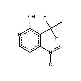 O=[N+]([O-])c1ccnc(O)c1C(F)(F)F